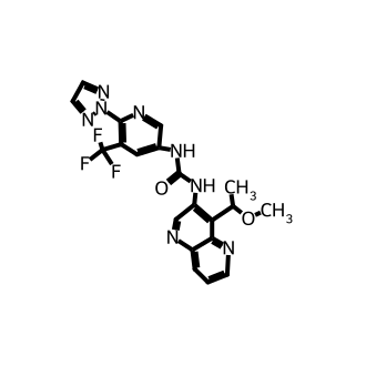 COC(C)c1c(NC(=O)Nc2cnc(-n3nccn3)c(C(F)(F)F)c2)cnc2cccnc12